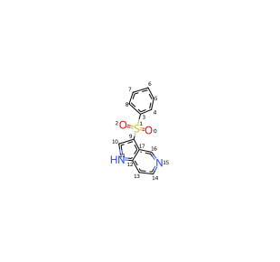 O=S(=O)(c1ccccc1)c1c[nH]c2ccncc12